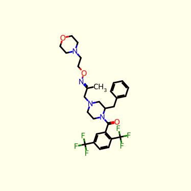 C/C(CN1CCN(C(=O)c2cc(C(F)(F)F)ccc2C(F)(F)F)C(Cc2ccccc2)C1)=N\OCCN1CCOCC1